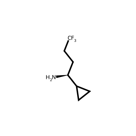 N[C@@H](CCC(F)(F)F)C1CC1